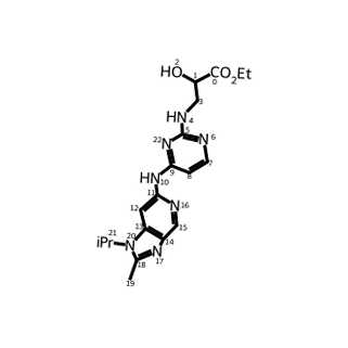 CCOC(=O)C(O)CNc1nccc(Nc2cc3c(cn2)nc(C)n3C(C)C)n1